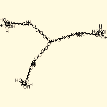 C[C@@H]1C(CO)O[C@@H](OCCCCCCCOCc2cn(CCOCCOCCOCCOCCOCC(C)(COCCOCCOCCOCCOCCn3cc(COCCCCCCCO[C@@H]4OC(CO)[C@@H](O)C(O)C4O)nn3)COCCOCCOCCOCCOCCn3cc(COCCCCCCCO[C@@H]4OC(CO)[C@@H](O)C(O)C4O)nn3)nn2)C(O)C1O